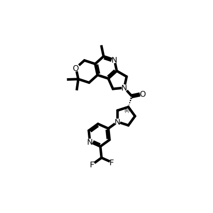 Cc1nc2c(c3c1COC(C)(C)C3)CN(C(=O)[C@@H]1CCN(c3ccnc(C(F)F)c3)C1)C2